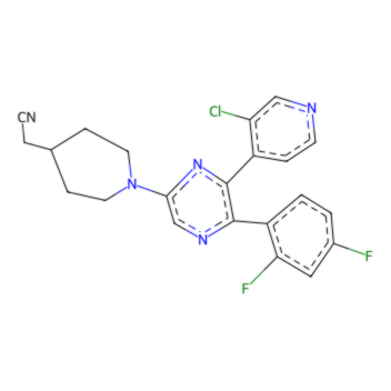 N#CCC1CCN(c2cnc(-c3ccc(F)cc3F)c(-c3ccncc3Cl)n2)CC1